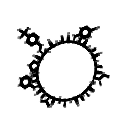 CC[C@H](C)[C@@H]1NC(=O)[C@H](C)N(C)C(=O)C[C@@H](C)NC(=O)[C@H](C(C)C)N(C)C(=O)[C@H](Cc2ccccc2)N(C)C(=O)[C@@H]2CCCN2C(=O)[C@H](CCc2ccc(C(F)(F)F)cc2)NC(=O)CN(C)C(=O)[C@H](Cc2ccc(Cl)cc2)N(C)C(=O)CN(C)C(=O)CN(C)C1=O